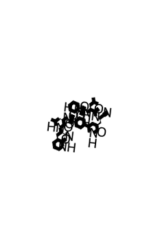 CC(C)C[C@H](NS(=O)(=O)C1CCC(C2CNC(=O)[C@H](C[C@@H](C#N)NC(=O)[C@H](CC(C)C)NS(=O)(=O)N3CCCCC3)C2)CC1)C(=O)N[C@H](C#N)C[C@@H]1CCCNC1=O